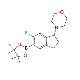 CC1(C)OB(c2cc3c(cc2F)C(N2CCOCC2)CC3)OC1(C)C